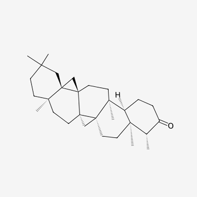 C[C@H]1C(=O)CC[C@H]2[C@]1(C)CC[C@]13C[C@@]14CC[C@@]1(C)CCC(C)(C)C[C@]15C[C@]54CC[C@@]23C